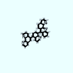 c1cnc2c(c1)cc(-c1ccc(-c3c4ccccc4nc4c3ccc3cccnc34)c3ncccc13)c1cccnc12